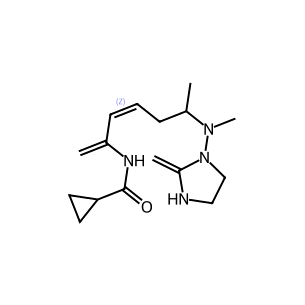 C=C(/C=C\CC(C)N(C)N1CCNC1=C)NC(=O)C1CC1